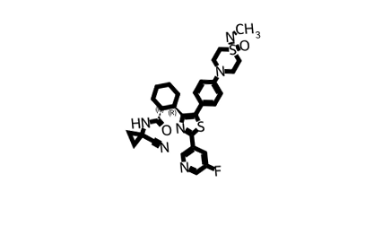 CN=S1(=O)CCN(c2ccc(-c3sc(-c4cncc(F)c4)nc3[C@@H]3CCCC[C@H]3C(=O)NC3(C#N)CC3)cc2)CC1